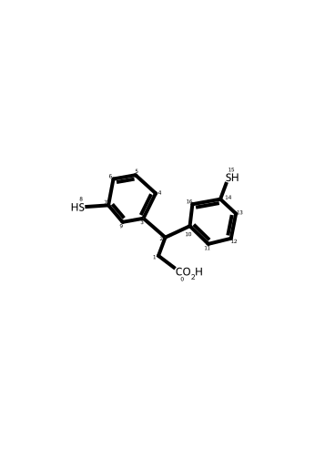 O=C(O)CC(c1cccc(S)c1)c1cccc(S)c1